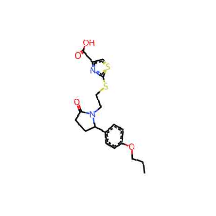 CCCOc1ccc(C2CCC(=O)N2CCSc2nc(C(=O)O)cs2)cc1